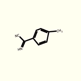 Cc1ccc(C(=N)C#N)cc1